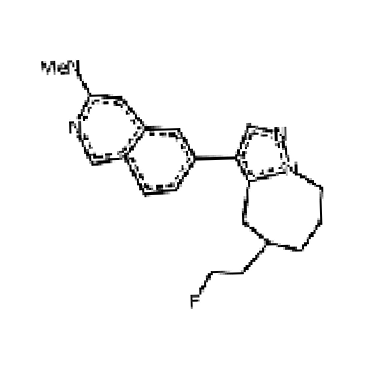 CNc1cc2cc(-c3cnn4c3CC(CCF)CCC4)ccc2cn1